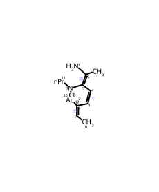 C\C=C(/C=C\C(=C(/C)N)N(C)CCC)C(C)=O